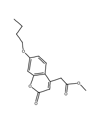 CCCCOc1ccc2c(CC(=O)OC)cc(=O)oc2c1